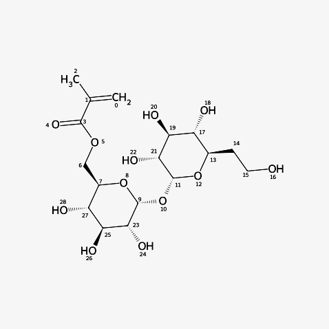 C=C(C)C(=O)OC[C@H]1O[C@H](O[C@H]2O[C@H](CCO)[C@@H](O)[C@H](O)[C@H]2O)[C@H](O)[C@@H](O)[C@@H]1O